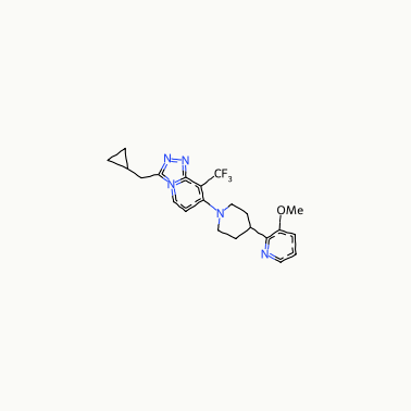 COc1cccnc1C1CCN(c2ccn3c(CC4CC4)nnc3c2C(F)(F)F)CC1